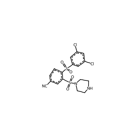 N#Cc1ccc(S(=O)(=O)c2cc(Cl)cc(Cl)c2)c(S(=O)(=O)N2CCNCC2)c1